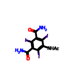 CC(=O)Nc1c(I)c(C(N)=O)c(I)c(C(N)=O)c1I